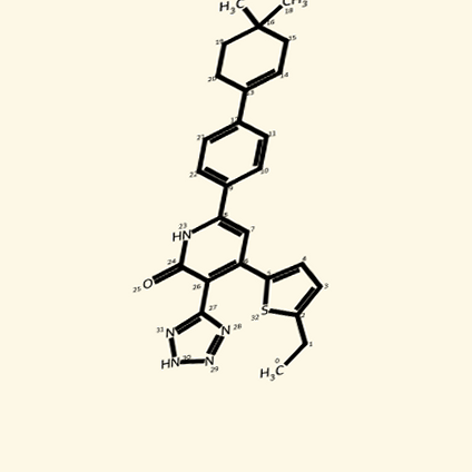 CCc1ccc(-c2cc(-c3ccc(C4=CCC(C)(C)CC4)cc3)[nH]c(=O)c2-c2nn[nH]n2)s1